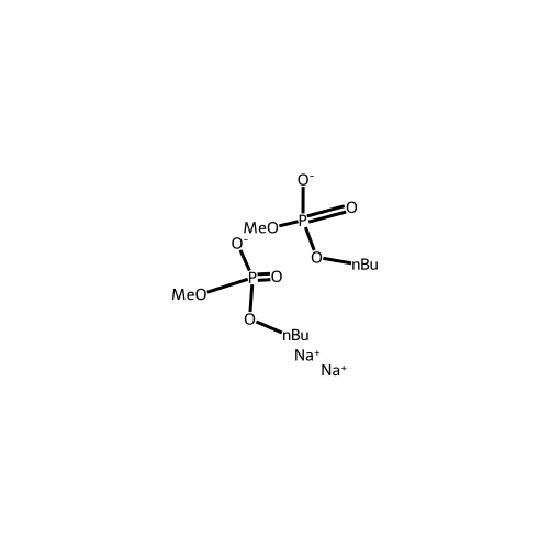 CCCCOP(=O)([O-])OC.CCCCOP(=O)([O-])OC.[Na+].[Na+]